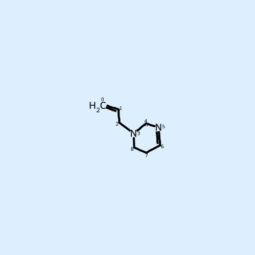 C=CCN1[C]N=CCC1